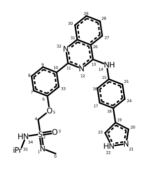 CN=S(=O)(COc1cccc(-c2nc(Nc3ccc(-c4cn[nH]c4)cc3)c3ccccc3n2)c1)NC(C)C